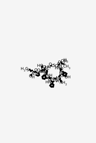 CSCCC[C@H](NC=O)C(=O)N1CCC[C@H]1C(=O)N[C@@H](CC(=O)O)C(=O)N[C@H]1CCNC(=O)CSC[C@@H](C(=O)N[C@H](C(=O)O)C(C)C)NC(=O)[C@H](Cc2ccc(O)cc2)NC(=O)[C@H](CCCN)NC(=O)[C@H](Cc2c[nH]c3ccccc23)NC(=O)[C@H](Cc2ccccc2)NC1=O